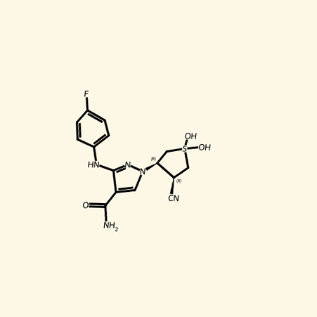 N#C[C@@H]1CS(O)(O)C[C@@H]1n1cc(C(N)=O)c(Nc2ccc(F)cc2)n1